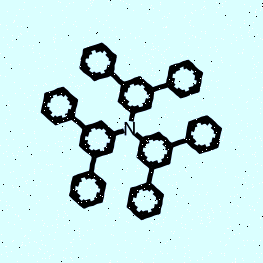 c1ccc(-c2cc(-c3ccccc3)cc(N(c3cc(-c4ccccc4)cc(-c4ccccc4)c3)c3cc(-c4ccccc4)cc(-c4ccccc4)c3)c2)cc1